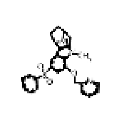 Cn1c2c(c3cc(S(=O)(=O)c4ccccc4)cc(OCc4ccccn4)c31)C1CCC(C2)N1